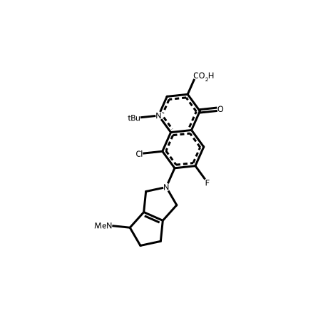 CNC1CCC2=C1CN(c1c(F)cc3c(=O)c(C(=O)O)cn(C(C)(C)C)c3c1Cl)C2